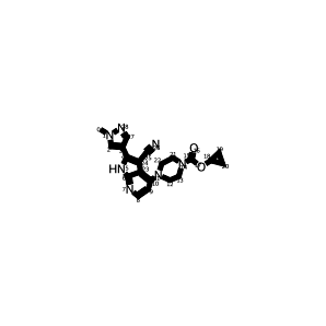 Cn1cc(-c2[nH]c3nccc(N4CCN(C(=O)OC5CC5)CC4)c3c2C#N)cn1